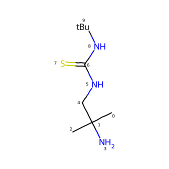 CC(C)(N)CNC(=S)NC(C)(C)C